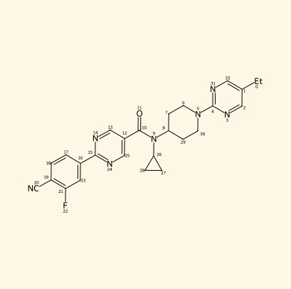 CCc1cnc(N2CCC(N(C(=O)c3cnc(-c4ccc(C#N)c(F)c4)nc3)C3CC3)CC2)nc1